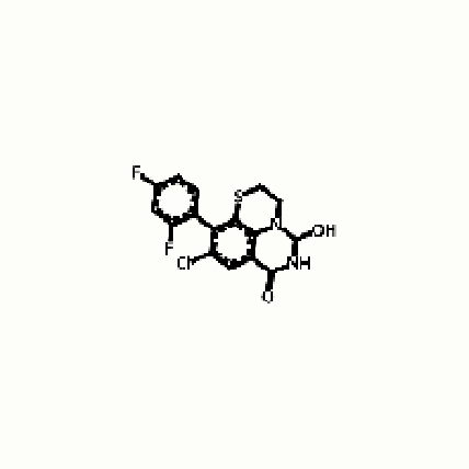 O=C1NC(O)N2CCSc3c(-c4ccc(F)cc4F)c(Cl)cc1c32